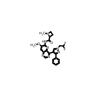 COc1cc2ncnc(-c3cn(CC(F)F)nc3-c3ccccc3)c2nc1NC(=O)C1CCN1C